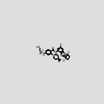 O=C(Nc1cc(F)cc2c1nc1n2[C@H]2CC[C@@H]1C2)c1ccc(NS(=O)(=O)CCO)cc1N1CCC2(CC1)CC2